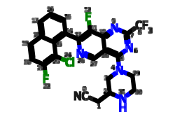 N#CCC1CN(c2nc(C(F)(F)F)nc3c(F)c(-c4cccc5ccc(F)c(Cl)c45)ncc23)CCN1